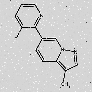 Cc1cnn2cc(-c3ncccc3F)ccc12